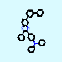 c1ccc(-c2cccc(-c3ccc4nc(-c5ccccc5)c(-c5ccc(N(c6ccccc6)c6ccccc6)cc5)nc4c3)c2)cc1